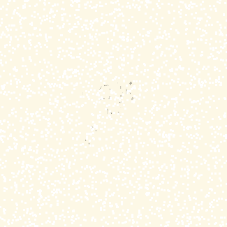 C[C@@H]1CCC[C@H](COC(=O)N2CCCC(N3CCN(C)CC3)C2)N1S(=O)(=O)c1ccc(Cl)cc1